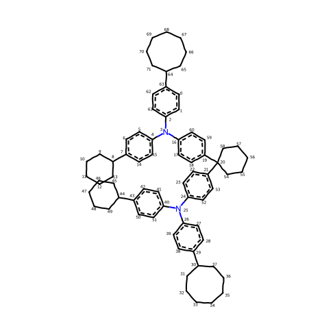 c1cc(N(c2ccc(C3CCCCC3)cc2)c2ccc(C3(c4ccc(N(c5ccc(C6CCCCCCC6)cc5)c5ccc(C6CCCCC6)cc5)cc4)CCCCC3)cc2)ccc1C1CCCCCCC1